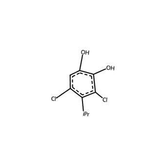 CC(C)c1c(Cl)cc(O)c(O)c1Cl